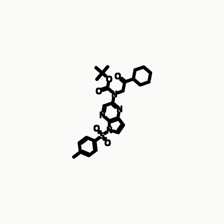 Cc1ccc(S(=O)(=O)n2ccc3nc(N(CC(=O)C4CCCCC4)C(=O)OC(C)(C)C)cnc32)cc1